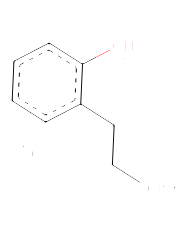 CCCCCCCCc1ccccc1O.[Zn]